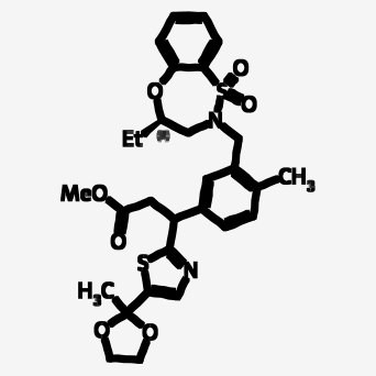 CC[C@@H]1CN(Cc2cc(C(CC(=O)OC)c3ncc(C4(C)OCCO4)s3)ccc2C)S(=O)(=O)c2ccccc2O1